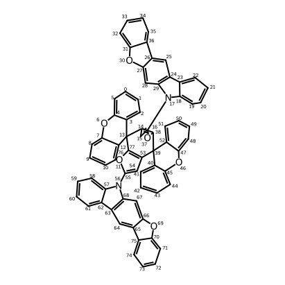 c1ccc2c(c1)Oc1ccccc1C21c2cc(-n3c4ccccc4c4cc5c(cc43)oc3ccccc35)oc2C2(c3ccccc3Oc3ccccc32)c2cc(-n3c4ccccc4c4cc5c(cc43)oc3ccccc35)oc21